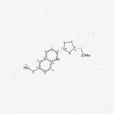 COC[C@H]1CC[C@@H](c2ccc3cc(CO)ccc3n2)C1